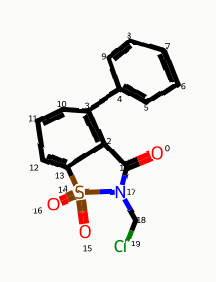 O=C1c2c(-c3ccccc3)cccc2S(=O)(=O)N1CCl